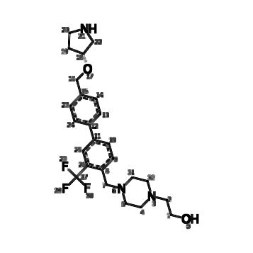 OCCN1CCN(Cc2ccc(-c3ccc(CO[C@@H]4CCNC4)cc3)cc2C(F)(F)F)CC1